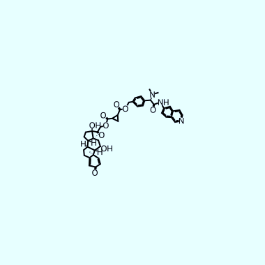 CN(C)[C@@H](C(=O)Nc1ccc2cnccc2c1)c1ccc(COC(=O)C2CC2C(=O)OCC(=O)[C@@]2(O)CC[C@H]3[C@@H]4CCC5=CC(=O)C=C[C@]5(C)[C@H]4[C@@H](O)C[C@@]32C)cc1